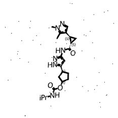 Cc1c([C@H]2C[C@@H]2C(=O)Nc2cc([C@H]3CC[C@@H](OC(=O)NC(C)C)C3)[nH]n2)cnn1C